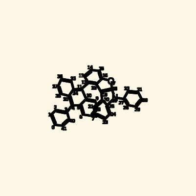 c1ccc(-c2c3ccccc3c(-c3cccc4oc5c(c6ccccc6n5-c5ccccc5)c34)c3ccccc23)cc1